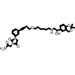 CC1(C)OCc2cc([C@@H](O)CNCCCCCCOCCC#Cc3cccc(N4CC(=O)N(CC(N)=O)C4=O)c3)ccc2O1